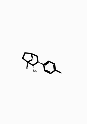 CCC[C@@H]1[C@@H]2CCC(C[C@H]1c1ccc(I)cc1)S2